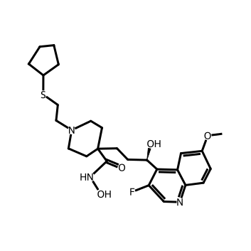 COc1ccc2ncc(F)c([C@H](O)CCC3(C(=O)NO)CCN(CCSC4CCCC4)CC3)c2c1